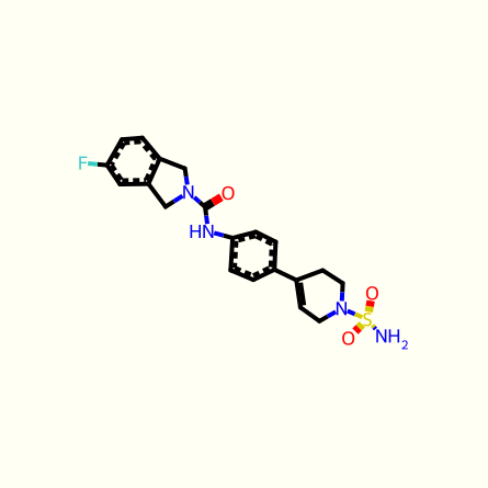 NS(=O)(=O)N1CC=C(c2ccc(NC(=O)N3Cc4ccc(F)cc4C3)cc2)CC1